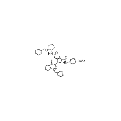 COc1ccc(NC(=O)c2cc(C(=O)Nc3ccccc3OCc3ccccc3)n(CC(=O)N[C@H]3CCCC[C@@H]3OCc3ccccc3)n2)cc1